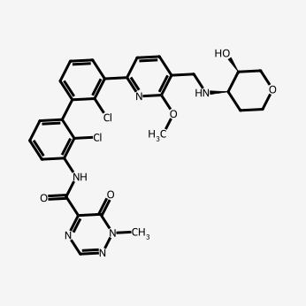 COc1nc(-c2cccc(-c3cccc(NC(=O)c4ncnn(C)c4=O)c3Cl)c2Cl)ccc1CN[C@@H]1CCOC[C@@H]1O